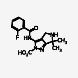 CC1(C)NCc2c1nn(C(=O)O)c2NC(=O)c1ccccc1F